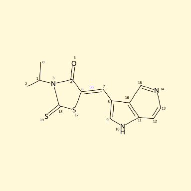 CC(C)N1C(=O)/C(=C/c2c[nH]c3ccncc23)SC1=S